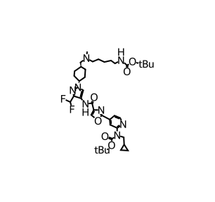 CN(CCCCCNC(=O)OC(C)(C)C)C[C@H]1CC[C@H](n2cc(NC(=O)c3coc(-c4ccnc(N(CC5CC5)C(=O)OC(C)(C)C)c4)n3)c(C(F)F)n2)CC1